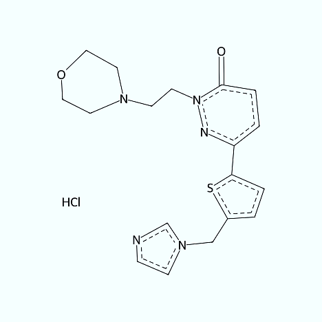 Cl.O=c1ccc(-c2ccc(Cn3ccnc3)s2)nn1CCN1CCOCC1